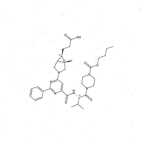 CCCCOC(=O)N1CCN(C(=O)[C@@H](NC(=O)c2cc(N3CC4[C@@H](CCC(=O)O)[C@@H]4C3)nc(-c3ccccc3)n2)C(C)C)CC1